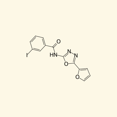 O=C(Nc1nnc(-c2ccco2)o1)c1cccc(I)c1